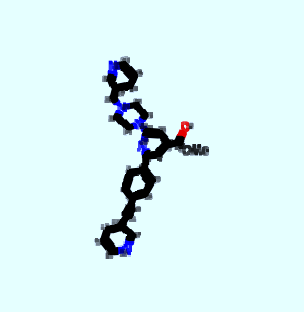 COC(=O)c1cc(-c2ccc(C#Cc3cccnc3)cc2)nc(N2CCN(Cc3cccnc3)CC2)c1